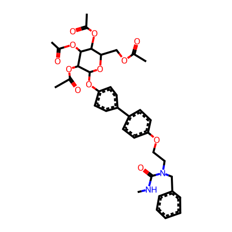 CNC(=O)N(CCOc1ccc(-c2ccc(OC3OC(COC(C)=O)C(OC(C)=O)C(OC(C)=O)C3OC(C)=O)cc2)cc1)Cc1ccccc1